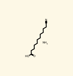 N.N#CCCCCCCCCCCC(=O)O